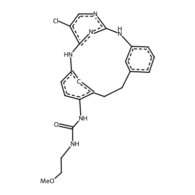 COCCNC(=O)Nc1ccc2cc1CCc1cccc(c1)Nc1ncc(Cl)c(n1)N2